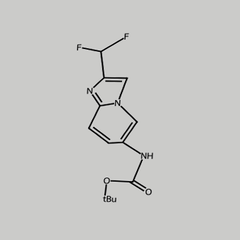 CC(C)(C)OC(=O)Nc1ccc2nc(C(F)F)cn2c1